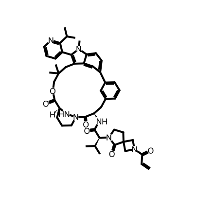 C=CC(=O)N1CC2(CCN([C@H](C(=O)N[C@H]3Cc4cccc(c4)-c4ccc5c(c4)c(c(-c4cccnc4C(C)C)n5C)CC(C)(C)COC(=O)[C@@H]4CCCN(N4)C3=O)C(C)C)C2=O)C1